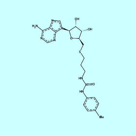 CC(C)(C)c1ccc(NC(=O)NCCCSC[C@H]2O[C@@H](n3cnc4c(N)ncnc43)[C@H](O)[C@@H]2O)cc1